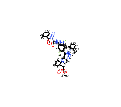 CCOC(=O)Cc1ccccc1N1CCc2nn(-c3c(CC)cccc3CC)c(-c3cc(F)c(NC(=O)NC(=O)c4ccccc4)cc3F)c2C1